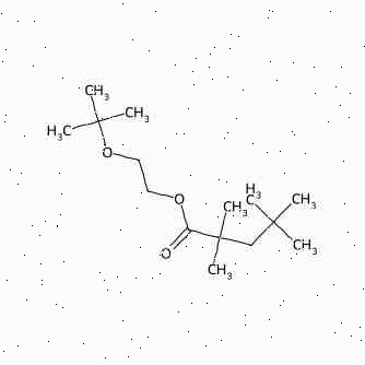 CC(C)(C)CC(C)(C)C(=O)OCCOC(C)(C)C